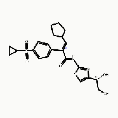 O=C(Nc1nc([C@H](O)CO)cs1)/C(=C/C1CCCC1)c1ccc(S(=O)(=O)C2CC2)cc1